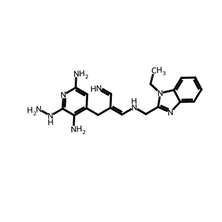 CCn1c(CN/C=C(\C=N)Cc2cc(N)nc(NN)c2N)nc2ccccc21